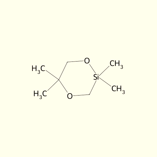 CC1(C)CO[Si](C)(C)CO1